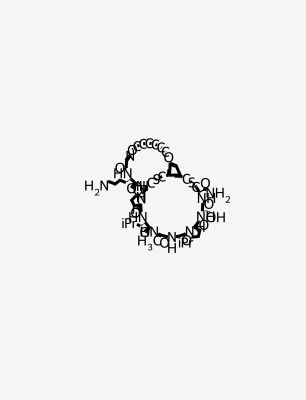 CC(C)C[C@@H]1NC(=O)[C@@H]2CCCN2C(=O)[C@@H]2CSCc3cc(cc(c3)OCCCCCCO/N=C/C(=O)N[C@@H](CCCCN)C(=O)N2)CSC[C@@H](C(N)=O)NC(=O)[C@H](CO)NC(=O)[C@@H]2CCCN2C(=O)[C@H](C(C)C)NC(=O)[C@H](C)NC1=O